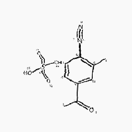 CC(=O)c1ccc([N+]#N)c(C)c1.O=S(=O)(O)O